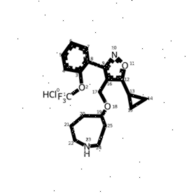 Cl.FC(F)(F)Oc1ccccc1-c1noc(C2CC2)c1COC1CCCNCC1